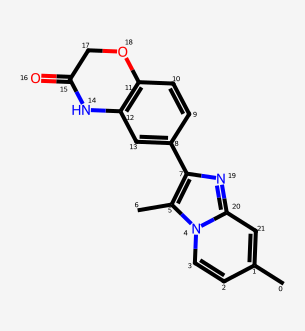 Cc1ccn2c(C)c(-c3ccc4c(c3)NC(=O)CO4)nc2c1